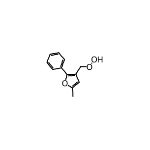 Cc1cc(COO)c(-c2ccccc2)o1